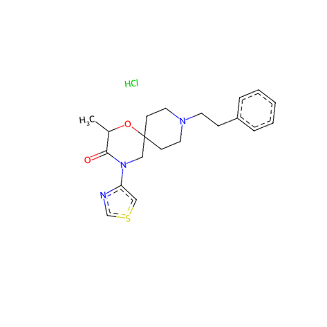 CC1OC2(CCN(CCc3ccccc3)CC2)CN(c2cscn2)C1=O.Cl